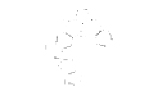 CCc1cc(S(=O)(=O)Nc2cscn2)c(F)cc1N(C)C1CCN(Cc2ccccc2)C1